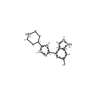 Fc1cc(-c2noc(C3CCNCC3)n2)c2cn[nH]c2c1